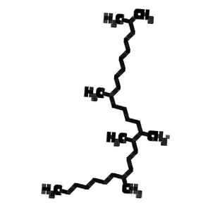 [CH2]C(CCCCC(C)CCCCCCCC(C)C)C(C)CCCC(C)CCCCCCC